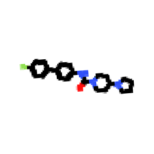 O=C(Nc1ccc(-c2ccc(F)cc2)cc1)N1CCC(N2CCCC2)CC1